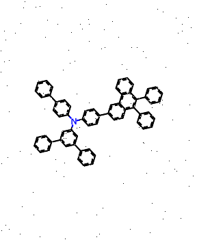 c1ccc(-c2ccc(N(c3ccc(-c4ccc5c(-c6ccccc6)c(-c6ccccc6)c6ccccc6c5c4)cc3)c3cc(-c4ccccc4)cc(-c4ccccc4)c3)cc2)cc1